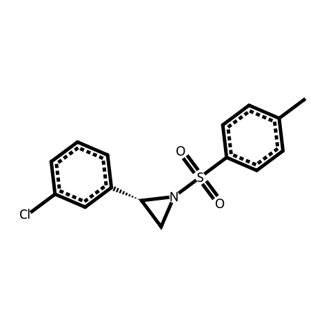 Cc1ccc(S(=O)(=O)N2C[C@@H]2c2cccc(Cl)c2)cc1